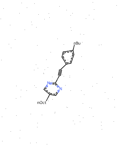 CCCCCCCCc1cnc(C#Cc2ccc(CCCC)cc2)nc1